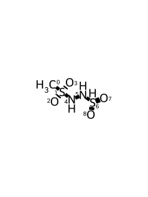 CS(=O)(=O)NN[SH](=O)=O